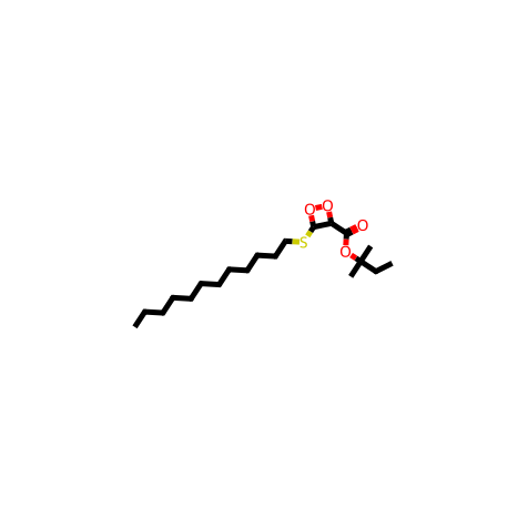 CCCCCCCCCCCCSC1OOC1C(=O)OC(C)(C)CC